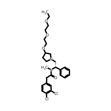 CCOCCOCCOC1CCN(C[C@H](c2ccccc2)N(C)C(=O)Cc2ccc(Cl)c(Cl)c2)C1